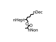 CCCCCCCCCCCCCCC(CCCCCCC)COC(=O)C(C)CCCCCCCCC